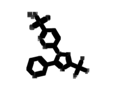 NS(=O)(=O)c1ccc(-n2nc(C(F)(F)F)nc2-c2cccnc2)nn1